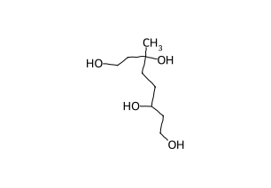 CC(O)(CCO)CCC(O)CCO